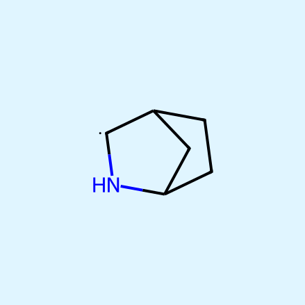 [CH]1NC2CCC1C2